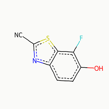 N#Cc1nc2ccc(O)c(F)c2s1